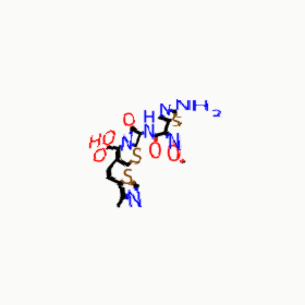 CO/N=C(\C(=O)NC1C(=O)N2C(C(=O)O)=C(/C=C\c3scnc3C)CSC12)c1cnc(N)s1